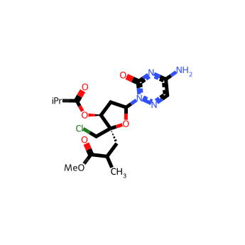 COC(=O)C(C)C[C@@]1(CCl)OC(n2ncc(N)nc2=O)C[C@@H]1OC(=O)C(C)C